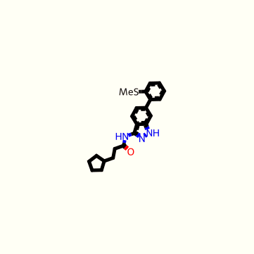 CSc1ccccc1-c1ccc2c(NC(=O)CCC3CCCC3)n[nH]c2c1